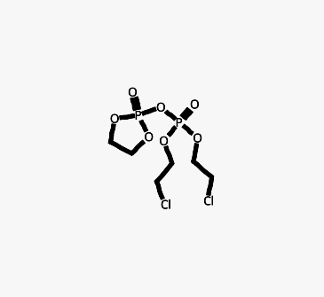 O=P(OCCCl)(OCCCl)OP1(=O)OCCO1